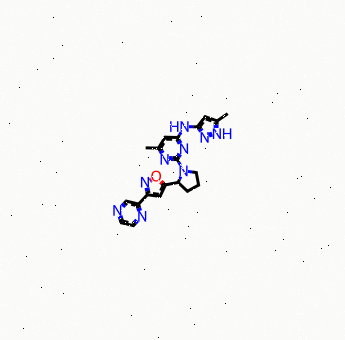 Cc1cc(Nc2cc(C)[nH]n2)nc(N2CCCC2c2cc(-c3cnccn3)no2)n1